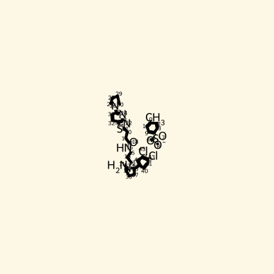 Cc1ccc(S(=O)(=O)[O-])cc1.N[N+]1(CCCNC(=O)CCc2nc3nc(N4CCCC4)ccc3s2)CCCC1c1ccc(Cl)c(Cl)c1